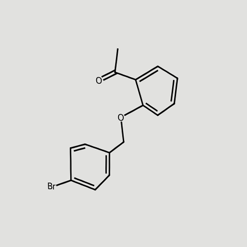 CC(=O)c1ccccc1OCc1ccc(Br)cc1